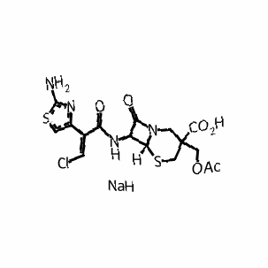 CC(=O)OCC1(C(=O)O)CS[C@@H]2C(NC(=O)C(=CCl)c3csc(N)n3)C(=O)N2C1.[NaH]